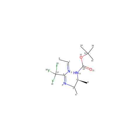 C/C=N\C(=N/C(C)[C@H](C)NC(=O)OC(C)(C)C)C(F)(F)F